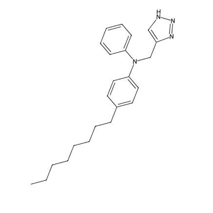 CCCCCCCCc1ccc(N(Cc2c[nH]nn2)c2ccccc2)cc1